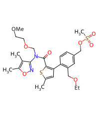 CCOCc1cc(COS(C)(=O)=O)ccc1-c1cc(C)sc1C(=O)N(COCCOC)c1noc(C)c1C